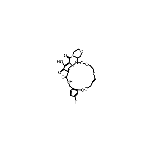 O=C1NCc2ccc(F)cc2OCC/C=C/CCCCCN2C3COCCN3C(=O)c3c(O)c(=O)c1cn32